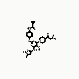 COc1c(Nc2cc(C)[nH]n2)nc(Sc2ccc(NC(=O)C3CC3)cc2)nc1N1CCC(C(=O)CN(C)C)CC1